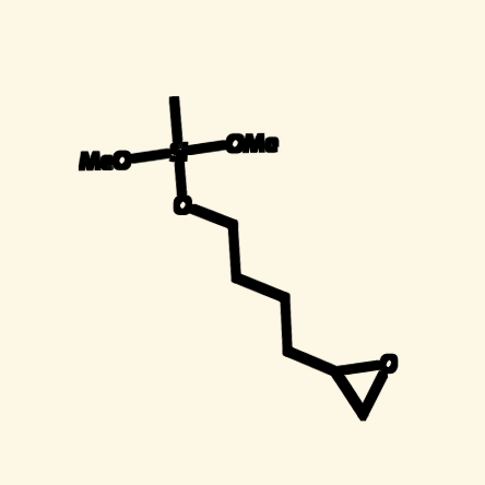 CO[Si](C)(OC)OCCCCC1CO1